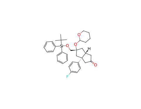 CC(C)(C)[Si](OC[C@@]1(OC2CCCCO2)C[C@@H]2CC(=O)C[C@@]2(c2ccc(F)cc2)C1)(c1ccccc1)c1ccccc1